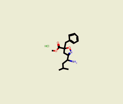 COC(=O)C1(Cc2ccccc2)CC(C(N)CC(C)C)=NO1.Cl